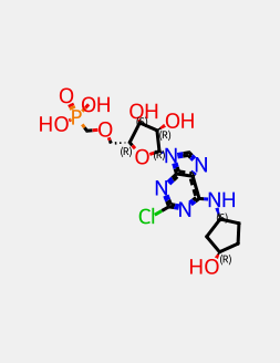 O=P(O)(O)COC[C@H]1O[C@@H](n2cnc3c(N[C@H]4CC[C@@H](O)C4)nc(Cl)nc32)[C@H](O)[C@@H]1O